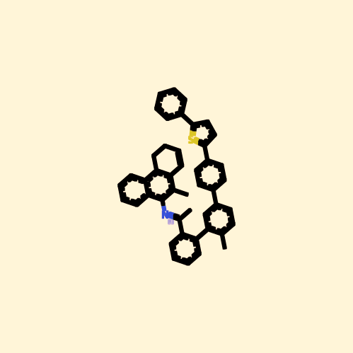 C/C(=N\c1c(C)c2c(c3ccccc13)CCC=C2)c1ccccc1-c1cc(-c2ccc(-c3ccc(-c4ccccc4)s3)cc2)ccc1C